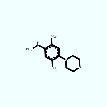 COc1cc(N2CCOCC2)c(N)cc1NC=O